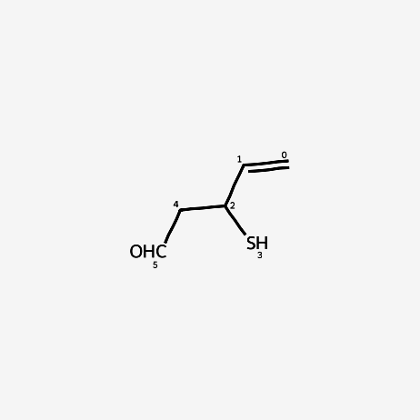 C=CC(S)CC=O